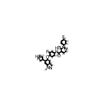 Cn1ncc2cc(Oc3ccc(NC(=O)c4ccnn(-c5ccc(F)cc5)c4=O)cc3F)c(-c3cn[nH]c3)cc21